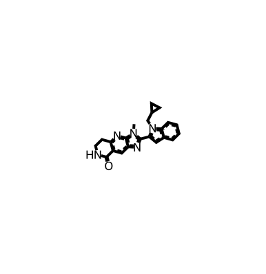 Cn1c(-c2cc3ccccc3n2CC2CC2)nc2cc3c(nc21)CCNC3=O